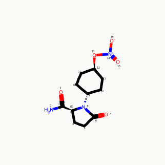 NC(=O)[C@@H]1CCC(=O)N1[C@H]1CC[C@H](O[N+](=O)[O-])CC1